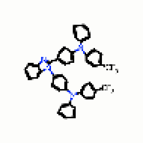 FC(F)(F)c1ccc(N(c2ccccc2)c2ccc(-c3nc4ccccc4n3-c3ccc(N(c4ccccc4)c4ccc(C(F)(F)F)cc4)cc3)cc2)cc1